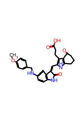 COc1ccc(CNc2ccc3c(c2)/C(=C/c2[nH]c4c(c2CCC(=O)O)C(=O)CCC4)C(=O)N3)cc1